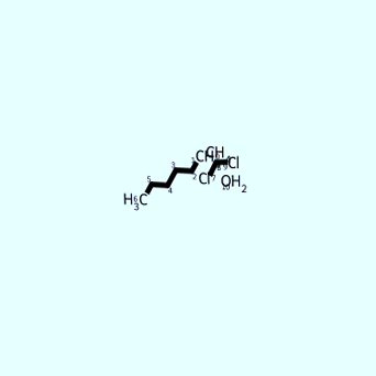 C.CCCCCC.ClCCl.O